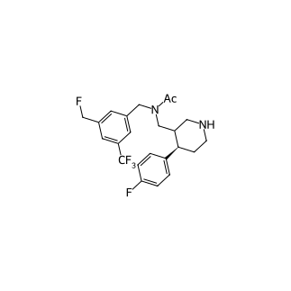 CC(=O)N(Cc1cc(CF)cc(C(F)(F)F)c1)CC1CNCC[C@H]1c1ccc(F)cc1